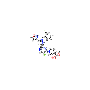 CCC1(C(=O)O)CCN(c2nc(-c3cc(-c4ccon4)n(Cc4ccccc4F)n3)ncc2F)CC1